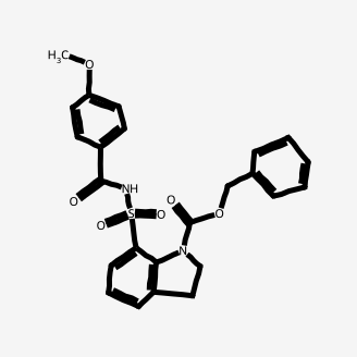 COc1ccc(C(=O)NS(=O)(=O)c2cccc3c2N(C(=O)OCc2ccccc2)CC3)cc1